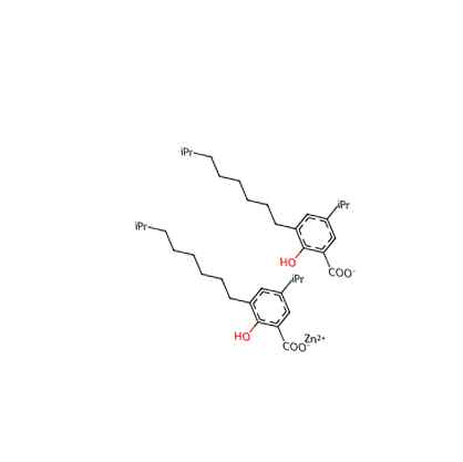 CC(C)CCCCCCc1cc(C(C)C)cc(C(=O)[O-])c1O.CC(C)CCCCCCc1cc(C(C)C)cc(C(=O)[O-])c1O.[Zn+2]